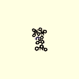 C/C=C\C(=C1/CC2(c3ccccc31)c1ccccc1-c1c(-c3cc(-c4ccccc4)nc(-c4ccccc4)c3)cccc12)c1cc(-c2nc3ccccc3n2-c2ccccc2)cc(-c2nc3ccccc3n2-c2ccccc2)c1